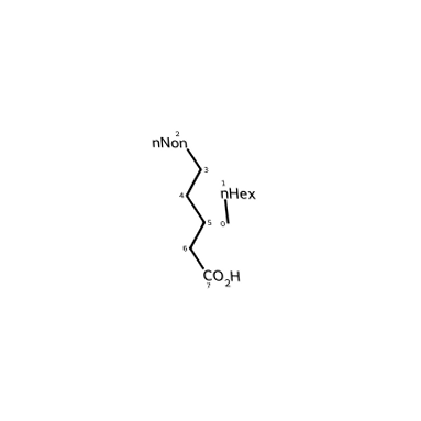 CCCCCCC.CCCCCCCCCCCCCC(=O)O